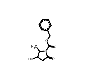 CC1C(O)CC(=O)N1C(=O)OCc1ccccc1